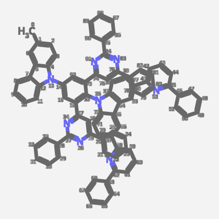 Cc1ccc2c(c1)c1ccccc1n2-c1cc(-c2cc(-c3ccccc3)nc(-c3ccccc3)n2)c(-n2c3ccc(-c4cccc(-c5ccccc5)n4)cc3c3cc(-c4cccc(-c5ccccc5)n4)ccc32)c(-c2cc(-c3ccccc3)nc(-c3ccccc3)n2)c1